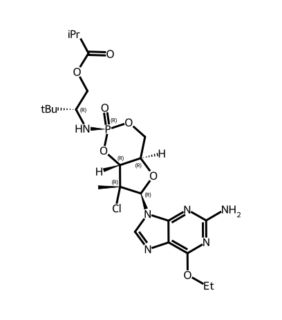 CCOc1nc(N)nc2c1ncn2[C@@H]1O[C@@H]2CO[P@](=O)(N[C@@H](COC(=O)C(C)C)C(C)(C)C)O[C@H]2[C@@]1(C)Cl